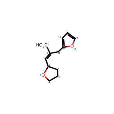 O=C(O)C(=CC1CCCO1)Cc1ccco1